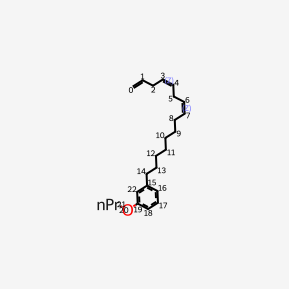 C=CC/C=C\C/C=C\CCCCCCCc1cccc(OCCC)c1